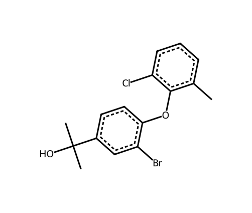 Cc1cccc(Cl)c1Oc1ccc(C(C)(C)O)cc1Br